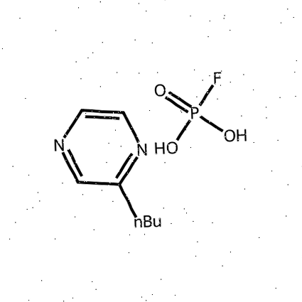 CCCCc1cnccn1.O=P(O)(O)F